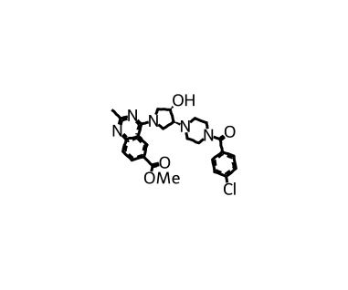 COC(=O)c1ccc2nc(C)nc(N3C[C@H](O)[C@@H](N4CCN(C(=O)c5ccc(Cl)cc5)CC4)C3)c2c1